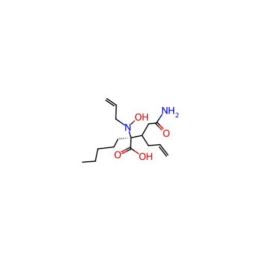 C=CCC(CC(N)=O)[C@@](CCCCC)(C(=O)O)N(O)CC=C